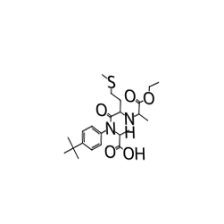 CCOC(=O)C(C)NC(CCSC)C(=O)N(c1ccc(C(C)(C)C)cc1)C(C)C(=O)O